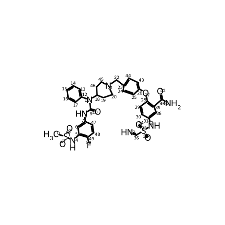 CS(=O)(=O)Nc1cc(NC(=O)N(c2ccccc2)C2CCN(Cc3ccc(Oc4ccc(NS(=O)(=O)C=N)cc4C(N)=O)cc3)CC2)ccc1F